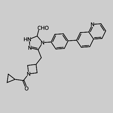 O=CC1NN=C(CC2CN(C(=O)C3CC3)C2)N1c1ccc(-c2ccc3cccnc3c2)cc1